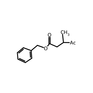 CC(=O)C(C)CC(=O)OCc1ccccc1